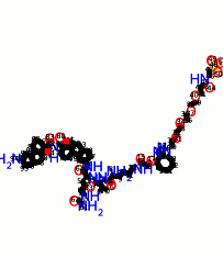 CC(C)[C@H](NC(=O)[C@H](N)CCCCNC(=O)COC1CCCCCc2c1nnn2CCOCCOCCOCCOCCC(=O)NCCS(=O)(=O)O)C(=O)N[C@@H](CCCNC(N)=O)C(=O)Nc1ccc2c(c1)[C@@]1(C)CCC[C@](C)(C(=O)NC(=O)[C@@]3(C)CCC[C@]4(C)c5cc(N)ccc5CC[C@@H]34)[C@@H]1CC2